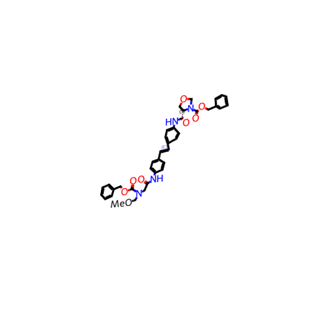 COCN(CC(=O)Nc1ccc(/C=C/c2ccc(NC(=O)[C@@H]3COCN3C(=O)OCc3ccccc3)cc2)cc1)C(=O)OCc1ccccc1